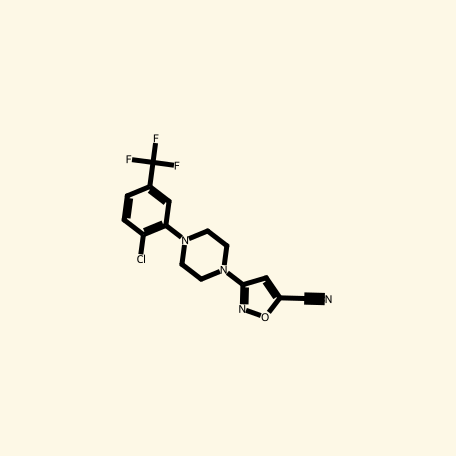 N#Cc1cc(N2CCN(c3cc(C(F)(F)F)ccc3Cl)CC2)no1